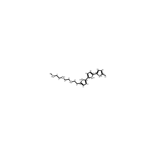 COCCOCCOCCc1ccc(-c2ccc(-c3ccc(C)s3)s2)s1